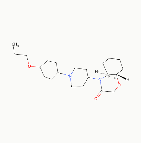 CCCOC1CCC(N2CCC(N3C(=O)CO[C@H]4CCCC[C@@H]43)CC2)CC1